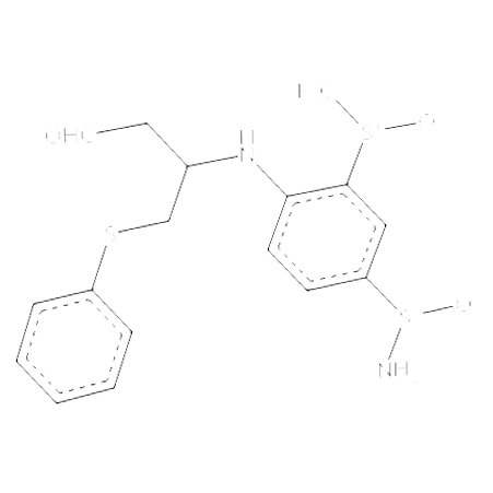 N[S+]([O-])c1ccc(NC(CC=O)CSc2ccccc2)c([S+]([O-])C(F)(F)F)c1